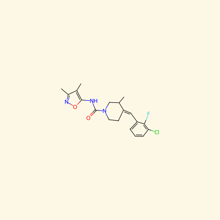 Cc1noc(NC(=O)N2CCC(=Cc3cccc(Cl)c3F)C(C)C2)c1C